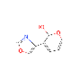 OC1OC=CC=C1c1co[c]n1